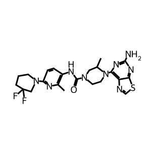 Cc1nc(N2CCCC(F)(F)C2)ccc1NC(=O)N1CCN(c2nc(N)nc3scnc23)C(C)C1